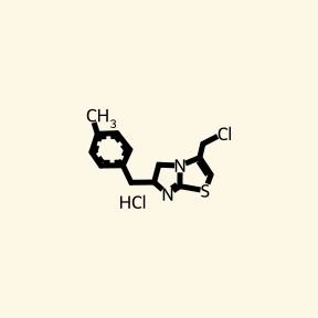 Cc1ccc(CC2CN3C(CCl)=CSC3=N2)cc1.Cl